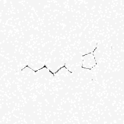 CCCCCCCC[C@H]1CC(C(=O)O)C[C@@H]1CCCCCCO